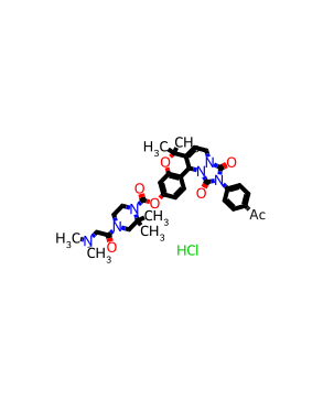 CC(=O)c1ccc(-n2c(=O)n3n(c2=O)C2C(=CC3)C(C)(C)Oc3cc(OC(=O)N4CCN(C(=O)CN(C)C)CC4(C)C)ccc32)cc1.Cl